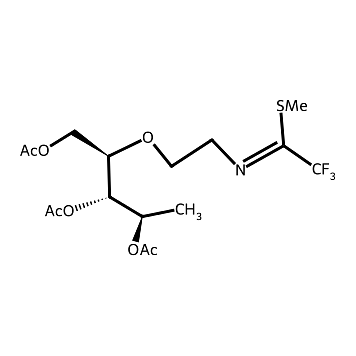 CS/C(=N\CCO[C@H](COC(C)=O)[C@@H](OC(C)=O)[C@@H](C)OC(C)=O)C(F)(F)F